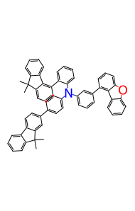 CC1(C)c2ccccc2-c2ccc(-c3ccc(N(c4cccc(-c5cccc6oc7ccccc7c56)c4)c4ccccc4-c4cccc5c4-c4ccccc4C5(C)C)cc3)cc21